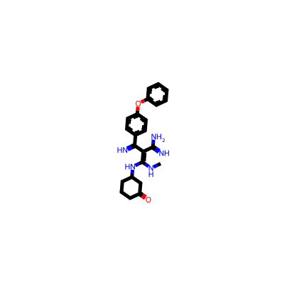 CN/C(NC1CCCC(=O)C1)=C(\C(=N)N)C(=N)c1ccc(Oc2ccccc2)cc1